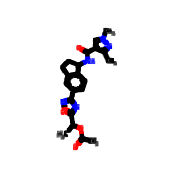 CC(=O)OC(C)c1nc(-c2ccc3c(c2)CCC3NC(=O)c2cn(C)nc2C)no1